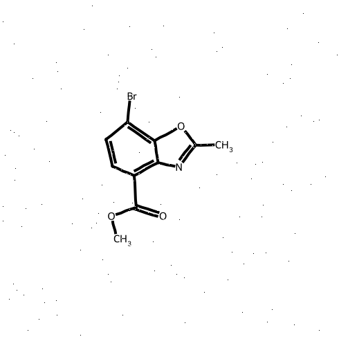 COC(=O)c1ccc(Br)c2oc(C)nc12